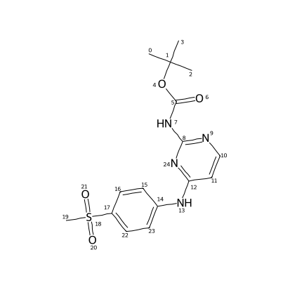 CC(C)(C)OC(=O)Nc1nccc(Nc2ccc(S(C)(=O)=O)cc2)n1